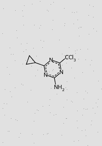 Nc1nc(C2CC2)nc(C(Cl)(Cl)Cl)n1